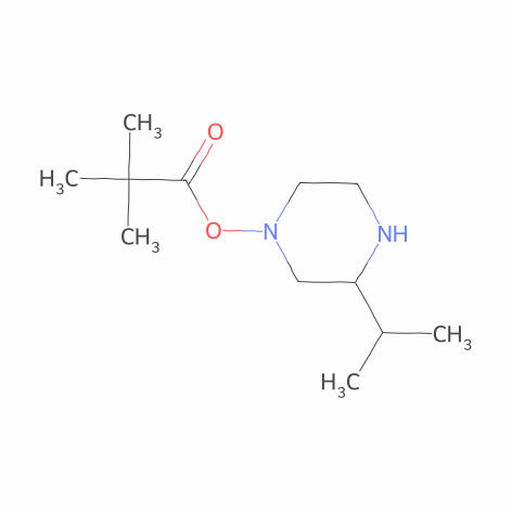 CC(C)C1CN(OC(=O)C(C)(C)C)CCN1